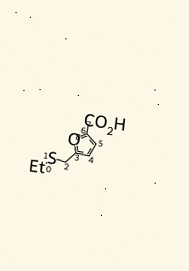 CCSCc1ccc(C(=O)O)o1